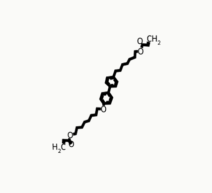 C=CC(=O)OCCCCCCCCOc1ccc(-c2ccc(CCCCCCCOC(=O)C=C)cc2)cc1